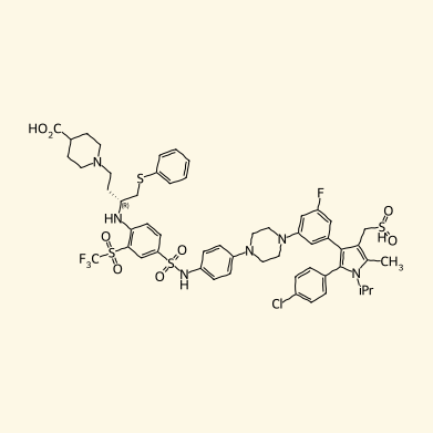 Cc1c(C[SH](=O)=O)c(-c2cc(F)cc(N3CCN(c4ccc(NS(=O)(=O)c5ccc(N[C@H](CCN6CCC(C(=O)O)CC6)CSc6ccccc6)c(S(=O)(=O)C(F)(F)F)c5)cc4)CC3)c2)c(-c2ccc(Cl)cc2)n1C(C)C